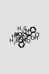 BC(O)(O)C(C)(O)N(C(=O)C1=C(O)c2c(Cl)cccc2N(C)C1=C)c1ccccc1